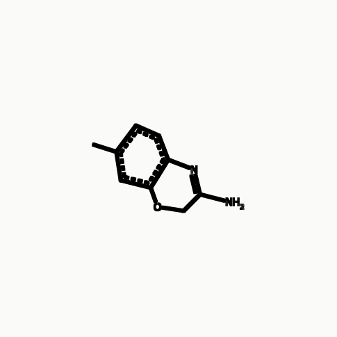 Cc1ccc2c(c1)OCC(N)=N2